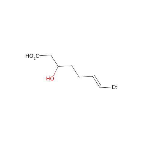 CCC=CCCC(O)CC(=O)O